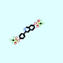 O=S(=O)(Oc1ccc(-c2cc3ccc(OS(=O)(=O)C(F)(F)F)cc3cn2)cc1)C(F)(F)F